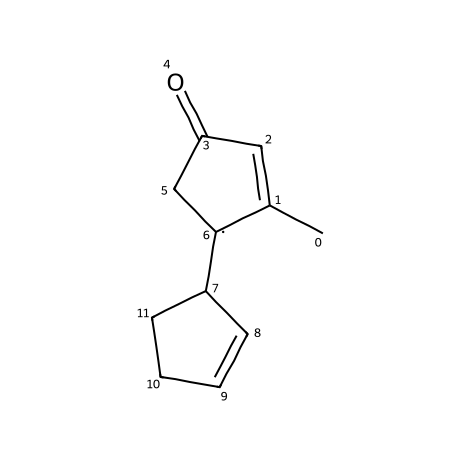 CC1=CC(=O)C[C]1C1C=CCC1